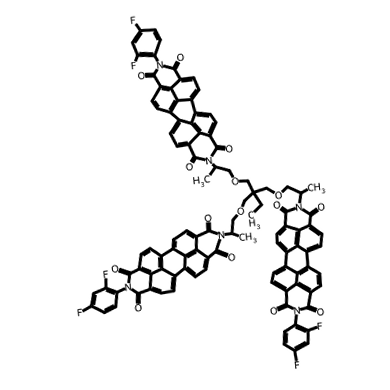 CCC(COCC(C)N1C(=O)c2ccc3c4ccc5c6c(ccc(c7ccc(c2c37)C1=O)c64)C(=O)N(c1ccc(F)cc1F)C5=O)(COCC(C)N1C(=O)c2ccc3c4ccc5c6c(ccc(c7ccc(c2c37)C1=O)c64)C(=O)N(c1ccc(F)cc1F)C5=O)COCC(C)N1C(=O)c2ccc3c4ccc5c6c(ccc(c7ccc(c2c37)C1=O)c64)C(=O)N(c1ccc(F)cc1F)C5=O